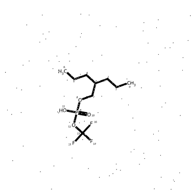 CCCC(CCC)COP(=O)(O)OC(F)(F)F